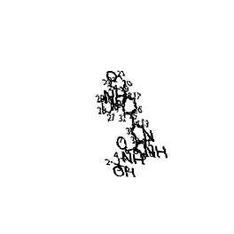 CC(C)(O)CNC(=O)c1c[nH]c2ncc(-c3ccc(C4CCOCC4)c([C@H]4CCCN4)c3)cc12